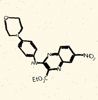 CCOC(=O)c1nc2cc([N+](=O)[O-])ccc2nc1Nc1ccc(N2CCOCC2)cc1